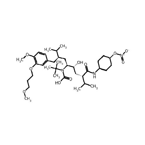 COCCCOc1cc(C[C@H](C[C@@H]([C@H](O)C[C@H](C(=O)NC2CCC(O[N+](=O)[O-])CC2)C(C)C)N(C(=O)O)C(C)(C)C)C(C)C)ccc1OC